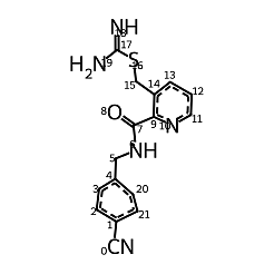 N#Cc1ccc(CNC(=O)c2ncccc2CSC(=N)N)cc1